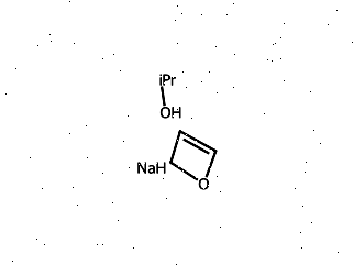 C1=COC1.CC(C)O.[NaH]